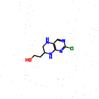 OCCC1CNc2cnc(Cl)nc2N1